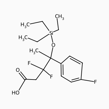 CC[Si](CC)(CC)OC(C)(c1ccc(F)cc1)C(F)(F)CC(=O)O